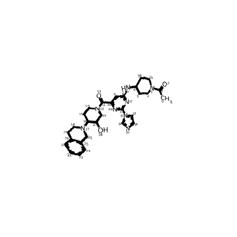 CC(=O)N1CCC(Nc2cc(C(=O)N3CCC(N4CCc5ccccc5C4)C(O)C3)nc(-n3ccnc3)n2)CC1